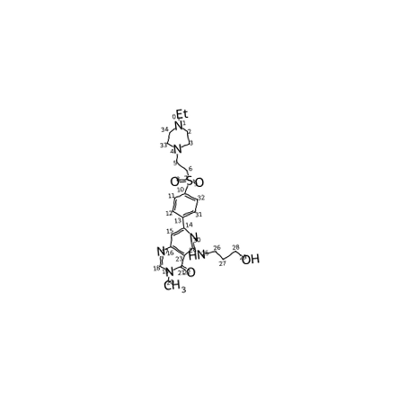 CCN1CCN(CCS(=O)(=O)c2ccc(-c3cc4ncn(C)c(=O)c4c(NCCCO)n3)cc2)CC1